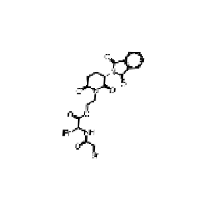 CC(C)C(NC(=O)CBr)C(=O)OCCN1C(=O)CC[C@H](N2C(=O)c3ccccc3C2=O)C1=O